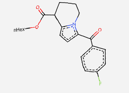 CCCCCCOC(=O)C1CCCn2c(C(=O)c3ccc(F)cc3)ccc21